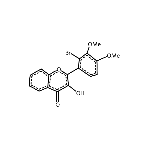 COc1ccc(-c2oc3ccccc3c(=O)c2O)c(Br)c1OC